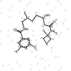 CCCN(CCC(C)CNC(=O)c1cc(F)cc(Cl)c1)CC(=O)N(C)C1(C)CCC1